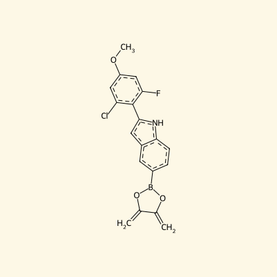 C=C1OB(c2ccc3[nH]c(-c4c(F)cc(OC)cc4Cl)cc3c2)OC1=C